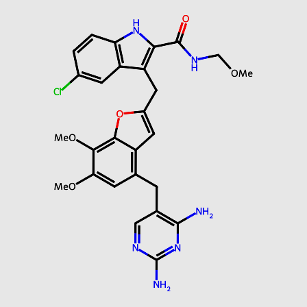 COCNC(=O)c1[nH]c2ccc(Cl)cc2c1Cc1cc2c(Cc3cnc(N)nc3N)cc(OC)c(OC)c2o1